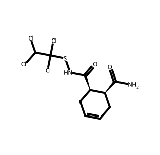 NC(=O)[C@H]1CC=CC[C@H]1C(=O)NSC(Cl)(Cl)C(Cl)Cl